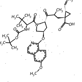 C=C[C@@H]1C[C@]1(CC(C)C(=O)[C@@H]1C[C@@H](Oc2nccc3cc(OC)ccc23)CN1C(=O)[C@@H](NC(=O)OC(C)(C)C)C(C)(C)C)C(=O)O